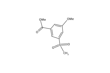 COC(=O)c1cc(OC)cc(S(C)(=O)=O)c1